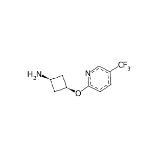 N[C@H]1C[C@@H](Oc2ccc(C(F)(F)F)cn2)C1